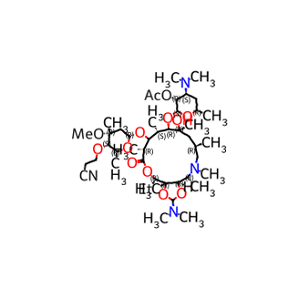 CC[C@H]1OC(=O)[C@H](C)C(O[C@H]2C[C@@](C)(OC)[C@@H](OCCC#N)[C@H](C)O2)[C@H](C)[C@@H](O[C@@H]2O[C@H](C)C[C@H](N(C)C)[C@H]2OC(C)=O)[C@](C)(O)C[C@@H](C)CN(C)[C@H](C)[C@H]2OC(N(C)C)O[C@@]21C